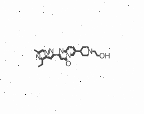 CCc1nc(C)cn2nc(-c3cc(=O)n4cc(C5CCN(CCO)CC5)ccc4n3)cc12